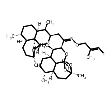 C/C(=C\I)CO/N=C(/C[C@H]1O[C@@H]2O[C@]3(C)CC[C@H]4[C@H](C)CC[C@@H]([C@H]1C)[C@@]24OO3)[C@H]1O[C@@H]2O[C@]3(C)CC[C@H]4[C@H](C)CC[C@@H]([C@H]1C)[C@@]24OO3